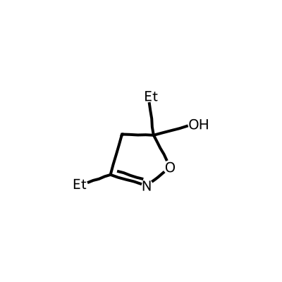 CCC1=NOC(O)(CC)C1